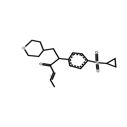 C/C=C/C(=O)C(CC1CCOCC1)c1ccc(S(=O)(=O)C2CC2)cc1